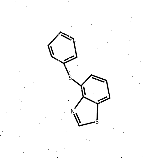 c1ccc(Sc2cccc3scnc23)cc1